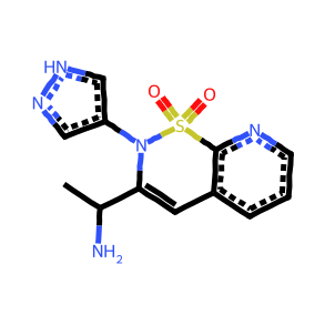 CC(N)C1=Cc2cccnc2S(=O)(=O)N1c1cn[nH]c1